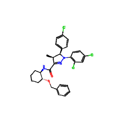 C[C@@H]1C(C(=O)N[C@@H]2CCCC[C@H]2OCc2ccccc2)=NN(c2ccc(Cl)cc2Cl)[C@@H]1c1ccc(Cl)cc1